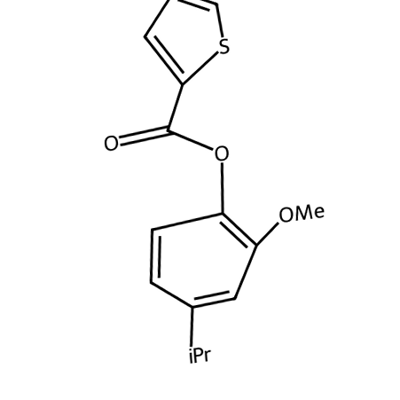 COc1cc(C(C)C)ccc1OC(=O)c1cccs1